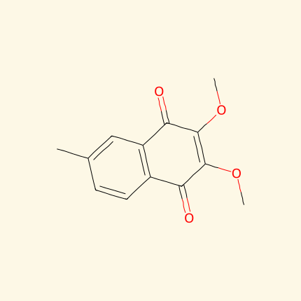 COC1=C(OC)C(=O)c2cc(C)ccc2C1=O